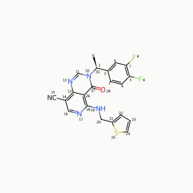 C[C@@H](c1ccc(F)c(F)c1)n1cnc2c(C#N)cnc(NCc3cccs3)c2c1=O